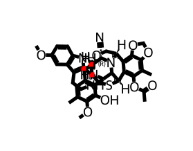 COc1ccc2[nH]c3c(c2c1)CCN[C@]31CS[C@@H]2c3c(OC(C)=O)c(C)c4c(c3[C@H](COC1=O)N1C2C2N[C@H](Cc3cc(C)c(OC)c(O)c32)[C@@H]1C#N)OCO4